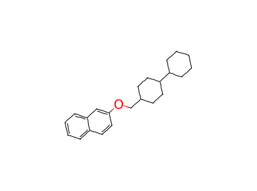 c1ccc2cc(OCC3CCC(C4CCCCC4)CC3)ccc2c1